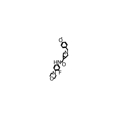 COc1ccc(CN2CC3C(C2)C3C(=O)Nc2ccc(N3CCOCC3)c(F)c2)cc1